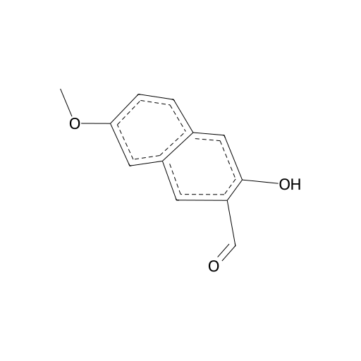 COc1ccc2cc(O)c(C=O)cc2c1